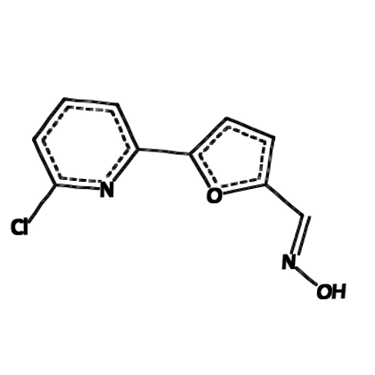 ON=Cc1ccc(-c2cccc(Cl)n2)o1